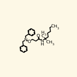 CCCCCC(C)(C)NC(=O)CCON(Cc1ccccc1)Cc1ccccc1